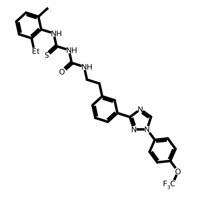 CCc1cccc(C)c1NC(=S)NC(=O)NCCc1cccc(-c2ncn(-c3ccc(OC(F)(F)F)cc3)n2)c1